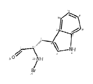 O=[C][C@H](Cc1c[nH]c2ccccc12)NBr